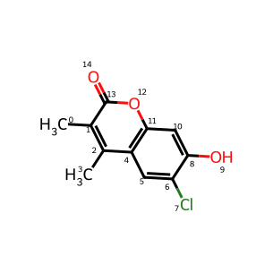 Cc1c(C)c2cc(Cl)c(O)cc2oc1=O